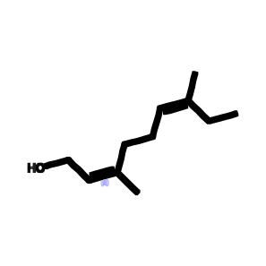 CCC(C)=CCC/C(C)=C\CO